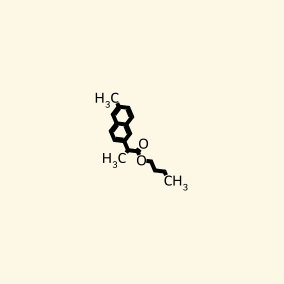 CCCCOC(=O)C(C)c1ccc2cc(C)ccc2c1